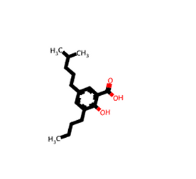 CCCCc1cc(CCCC(C)C)cc(C(=O)O)c1O